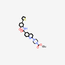 CC(C)(C)OC(=O)N1CCN(c2ccc3cc(C(=O)Nc4cc(-c5cccs5)ccc4O)ccc3n2)CC1